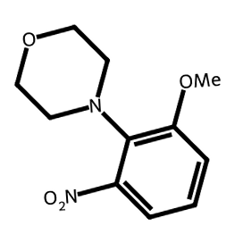 COc1cccc([N+](=O)[O-])c1N1CCOCC1